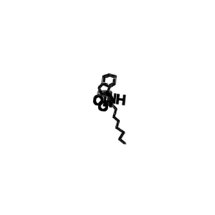 CCCCCCCC(=O)N[C@@H]1c2ccccc2C[C@@H]1O